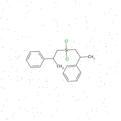 CC(C[Si](Cl)(Cl)CC(C)c1ccccc1)c1ccccc1